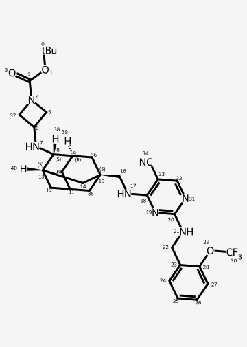 CC(C)(C)OC(=O)N1CC(N[C@@H]2[C@@H]3CC4C[C@H]2C[C@@](CNc2nc(NCc5ccccc5OC(F)(F)F)ncc2C#N)(C4)C3)C1